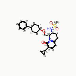 CCS(=O)(=O)N[C@H]1CCc2ccc(C3CC3)c(=O)n2[C@H]1COC1CCC(c2ccccc2)CC1